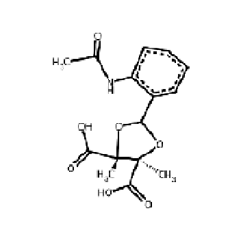 CC(=O)Nc1ccccc1C1O[C@@](C)(C(=O)O)[C@](C)(C(=O)O)O1